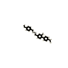 CCc1ccc(C=NN=Cc2ccc(-c3ccc(CC)cc3)c(F)c2)cc1